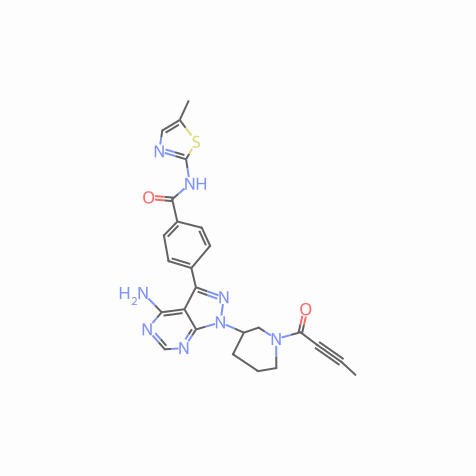 CC#CC(=O)N1CCCC(n2nc(-c3ccc(C(=O)Nc4ncc(C)s4)cc3)c3c(N)ncnc32)C1